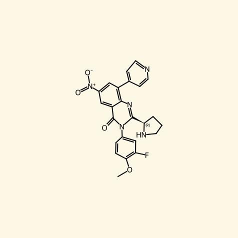 COc1ccc(-n2c([C@H]3CCCN3)nc3c(-c4ccncc4)cc([N+](=O)[O-])cc3c2=O)cc1F